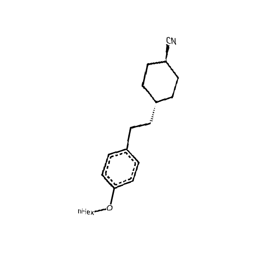 CCCCCCOc1ccc(CC[C@H]2CC[C@H](C#N)CC2)cc1